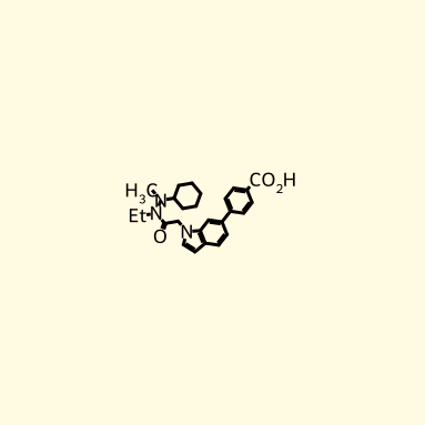 CCN(C(=O)Cn1ccc2ccc(-c3ccc(C(=O)O)cc3)cc21)N(C)C1CCCCC1